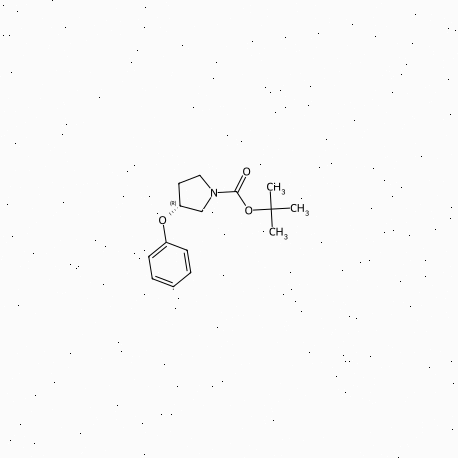 CC(C)(C)OC(=O)N1CC[C@@H](Oc2cc[c]cc2)C1